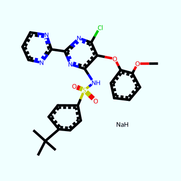 COc1ccccc1Oc1c(Cl)nc(-c2ncccn2)nc1NS(=O)(=O)c1ccc(C(C)(C)C)cc1.[NaH]